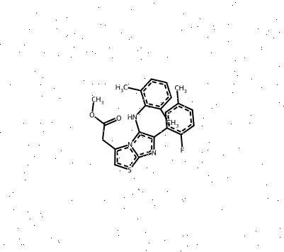 COC(=O)Cc1csc2nc(-c3cc(C)ccc3F)c(Nc3c(C)cccc3C)n12